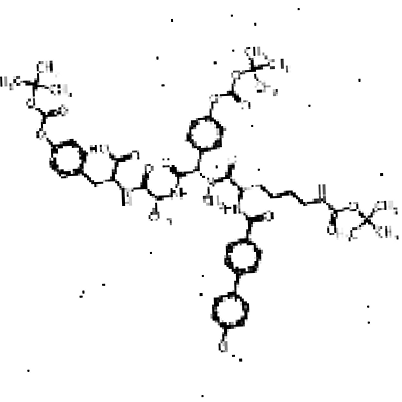 C[C@H](NC(=O)[C@H](c1ccc(OC(=O)OC(C)(C)C)cc1)N(C)C(=O)[C@H](CCCCNC(=O)OC(C)(C)C)NC(=O)c1ccc(-c2ccc(Cl)cc2)cc1)C(=O)N[C@@H](Cc1ccc(OC(=O)OC(C)(C)C)cc1)C(=O)O